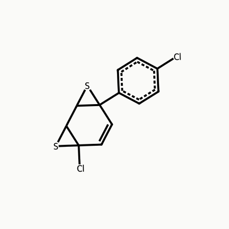 Clc1ccc(C23C=CC4(Cl)SC4C2S3)cc1